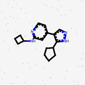 c1cc(-c2cn[nH]c2C2CCCC2)cc(NC2CCC2)n1